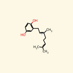 CC(C)=CCC/C(C)=C/Cc1cc(O)ccc1O